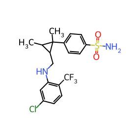 CC1C(CNc2cc(Cl)ccc2C(F)(F)F)C1(C)c1ccc(S(N)(=O)=O)cc1